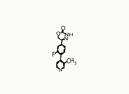 Cc1cnccc1-c1ccc(C2=NNC(=O)OC2)cc1F